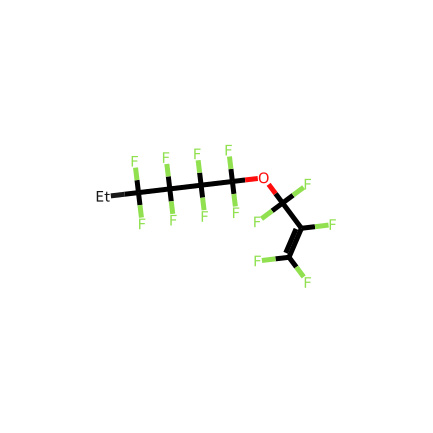 CCC(F)(F)C(F)(F)C(F)(F)C(F)(F)OC(F)(F)C(F)=C(F)F